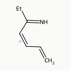 C=C/C=C\C(=N)CC